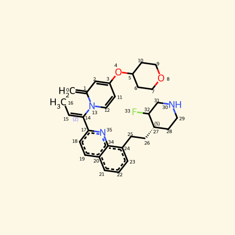 C=C1C=C(OC2CCOCC2)C=CN1/C(=C\C)c1ccc2cccc(CC[C@H]3CCNCC3F)c2n1